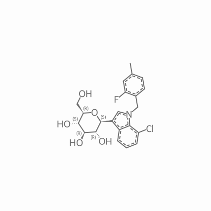 Cc1ccc(Cn2cc([C@@H]3O[C@H](CO)[C@@H](O)[C@H](O)[C@H]3O)c3cccc(Cl)c32)c(F)c1